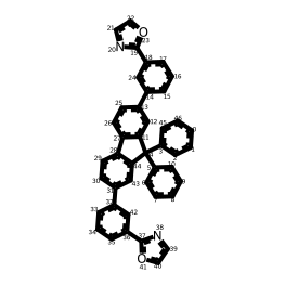 c1ccc(C2(c3ccccc3)c3cc(-c4cccc(-c5ncco5)c4)ccc3-c3ccc(-c4cccc(-c5ncco5)c4)cc32)cc1